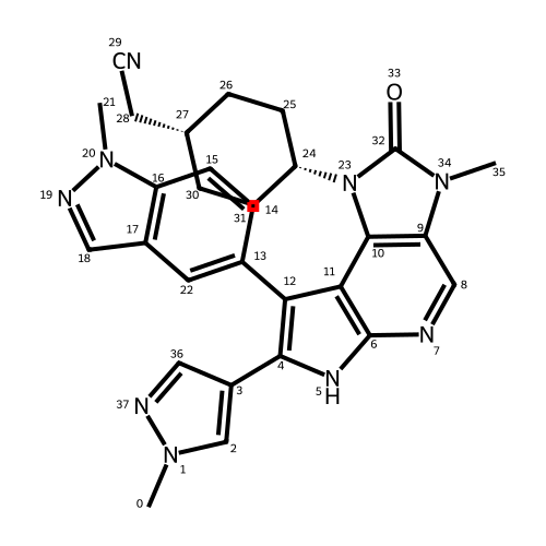 Cn1cc(-c2[nH]c3ncc4c(c3c2-c2ccc3c(cnn3C)c2)n([C@H]2CC[C@@H](CC#N)CC2)c(=O)n4C)cn1